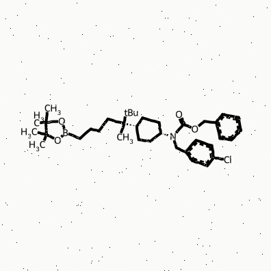 CC1(C)OB(CCCCC(C)([C@H]2CC[C@@H](N(Cc3ccc(Cl)cc3)C(=O)OCc3ccccc3)CC2)C(C)(C)C)OC1(C)C